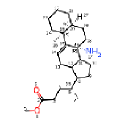 COC(=O)CC[C@@H](C)C1CCC2C1CC=C1[C@@]2(N)CC[C@@H]2CCCC[C@]12C